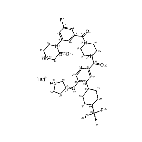 Cl.O=C(c1cc(F)cc(N2CCNCC2=O)c1)N1CCN(C(=O)c2ccc(O[C@H]3CCNC3)c(C3CCC(C(F)(F)F)CC3)c2)CC1